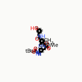 COC(=O)/C(=C/c1ccc2c(c1)nnn2C(=O)OC(C)(C)C)NC(=O)c1c(C)cc(C(=O)NCc2cccc(O)c2)cc1C